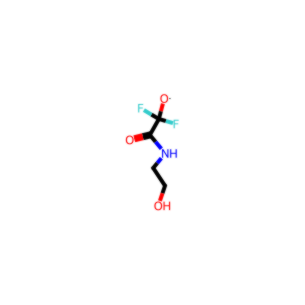 [O]C(F)(F)C(=O)NCCO